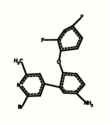 Cc1cc(-c2cc(N)ccc2Oc2ccc(F)cc2F)cc(Br)n1